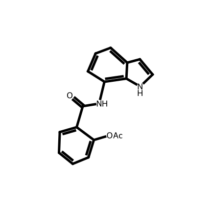 CC(=O)Oc1ccccc1C(=O)Nc1cccc2cc[nH]c12